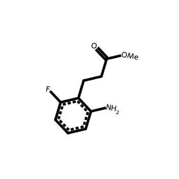 COC(=O)CCc1c(N)cccc1F